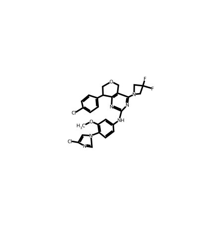 COc1cc(Nc2nc3c(c(N4CC(F)(F)C4)n2)COCC3c2ccc(Cl)cc2)ccc1-n1cnc(Cl)c1